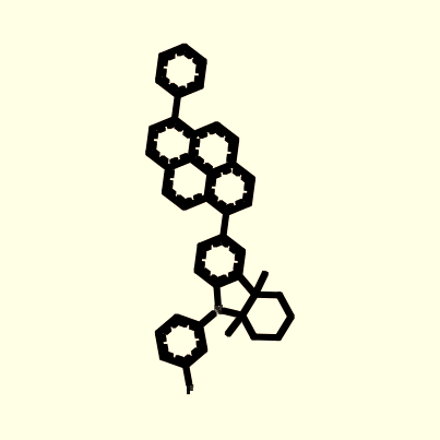 CC12CCCCC1(C)N(c1cccc(F)c1)c1ccc(-c3ccc4ccc5c(-c6ccccc6)ccc6ccc3c4c65)cc12